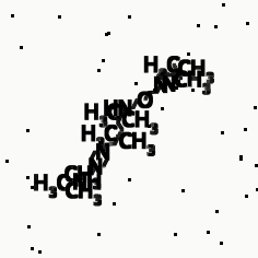 CC(C)(CCN1CCN(CCNC(C)(C)C)CC1)CCC(C)(C)NCCOCCn1ccc(C(C)(C)C)n1